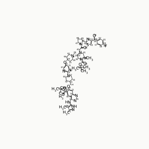 Cc1n[nH]c(Nc2ncnc3cc(OCC4CCN(c5ncc(OC6CCN(C[C@H]7CN(C(=O)OC(C)(C)C)[C@H](C)CN7CC(=O)N7CCCC7c7nc(C(=O)c8ccc(F)cc8)cs7)CC6)cn5)CC4)c(S(=O)(=O)C(C)(C)C)cc23)c1C